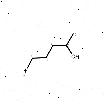 C[C](O)CCCF